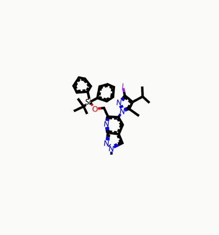 Cc1c(C(C)C)c(I)nn1-c1cc2cn(C)nc2nc1CO[Si](c1ccccc1)(c1ccccc1)C(C)(C)C